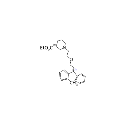 CCOC(=O)[C@@H]1CCCN(CCOC/C=C(/c2ccccc2)c2ccccc2C)C1